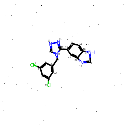 Clc1cc(Cl)cc(Cn2cnnc2-c2ccc3[nH]cnc3c2)c1